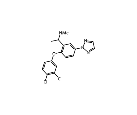 CNC(C)c1cc(-n2nccn2)ccc1Oc1ccc(Cl)c(Cl)c1